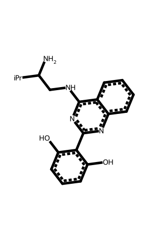 CC(C)C(N)CNc1nc(-c2c(O)cccc2O)nc2ccccc12